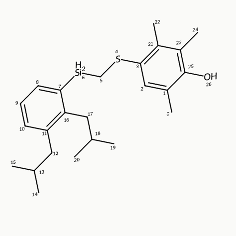 Cc1cc(SC[SiH2]c2cccc(CC(C)C)c2CC(C)C)c(C)c(C)c1O